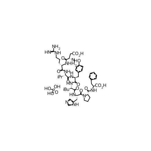 CC[C@H](C)[C@H](NC(=O)[C@H](Cc1ccc(O)cc1)NC(=O)[C@@H](NC(=O)[C@H](CCCNC(=N)N)NC(=O)[C@@H](N)CC(=O)O)C(C)C)C(=O)N[C@@H](Cc1cnc[nH]1)C(=O)N1CCC[C@H]1C(=O)N[C@@H](Cc1ccccc1)C(=O)O.O=P(O)(O)O